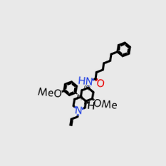 C=CCN1CC[C@@]2(c3cccc(OC)c3)C[C@H](NC(=O)CCCCCc3ccccc3)CC(OC)[C@@H]2C1